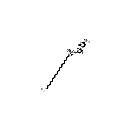 CCCCCCCCCCCCCCCCCCCCOP(=O)(N=O)OC[C@@H]1CC(F)(F)[C@H](n2ccc(N)nc2=O)O1